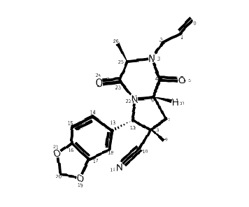 C=CCN1C(=O)[C@@H]2C[C@](C)(C#N)[C@H](c3ccc4c(c3)OCO4)N2C(=O)[C@H]1C